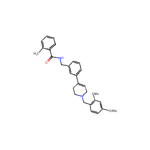 COc1ccc(CN2CC=C(c3cccc(CNC(=O)c4ccccc4C)c3)CC2)c(OC)c1